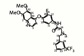 COc1cc2nccc(Oc3ccc(NC(=O)CN(C)Cc4cccc(C(F)(F)F)c4)cc3F)c2cc1OC